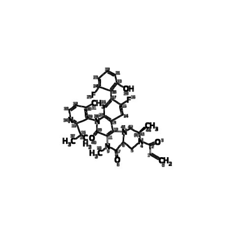 C=CC(=O)N1CC2C(=O)N(C)c3c(c4cc(F)c(-c5c(O)cccc5F)cc4n(-c4c(C)ccnc4C(C)C)c3=O)N2C[C@H]1C